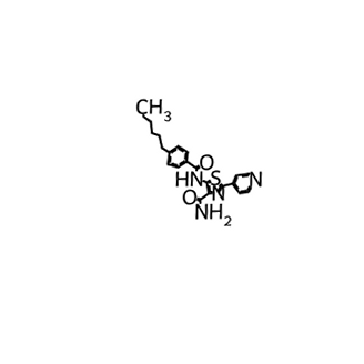 CCCCCCc1ccc(C(=O)Nc2sc(-c3ccncc3)nc2C(N)=O)cc1